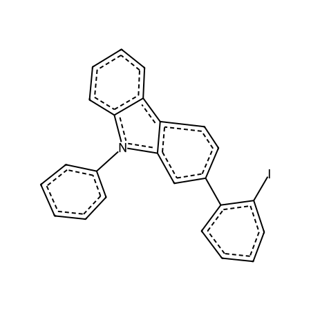 Ic1ccccc1-c1ccc2c3ccccc3n(-c3ccccc3)c2c1